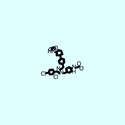 COC(=O)CNc1ccc(Cn2cc(-c3ccc(Cl)cc3Cl)nc2Cc2ccc(-c3cccc(NS(C)(=O)=O)c3)cc2)cc1